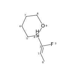 CC=C(F)[SiH]1CCCCO1